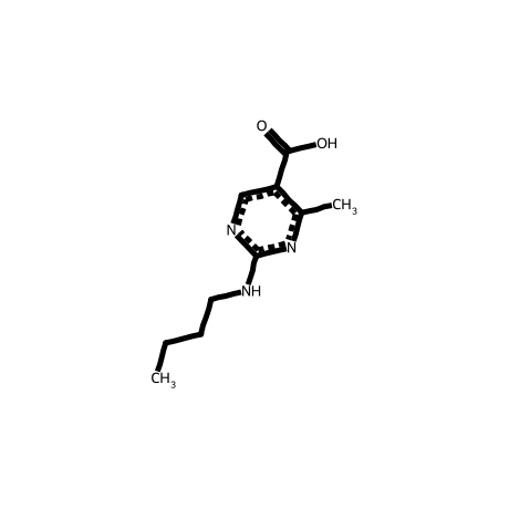 CCCCNc1ncc(C(=O)O)c(C)n1